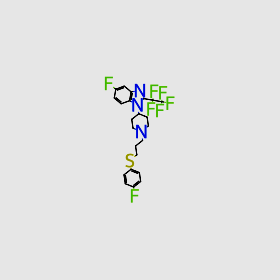 Fc1ccc(SCCCN2CCC(n3c(C(F)(F)C(F)(F)F)nc4cc(F)ccc43)CC2)cc1